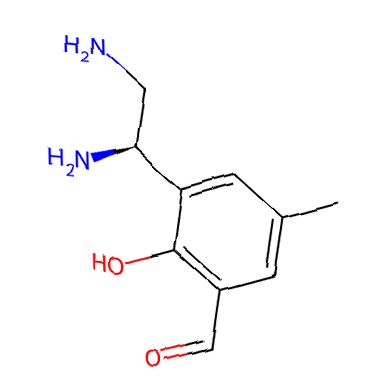 Cc1cc(C=O)c(O)c([C@@H](N)CN)c1